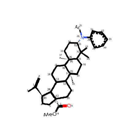 C=C(C)[C@@H]1CC[C@]2(C(=O)OC)CCC3C(CCC4[C@@]3(C)CCC3C(C)(C)[C@@H](N(C(C)=O)c5ccccc5)CC[C@@]34C)C12